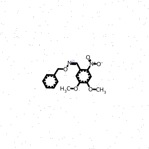 COc1cc(/C=N\OCc2ccccc2)c([N+](=O)[O-])cc1OC